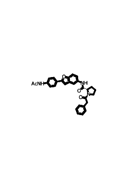 CC(=O)Nc1ccc(-c2cc3cc(NC(=O)[C@@H]4CCCN4C(=O)Cc4ccccc4)ccc3o2)cc1